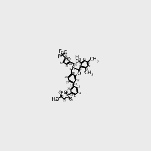 Cc1cc(C)c(C(=O)N(Cc2ccc(-c3cccc(S(=O)(=O)CC(=O)O)c3)cc2)Cc2ccc(C(F)(F)F)o2)c(C)c1